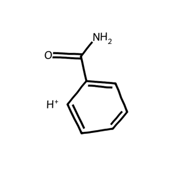 NC(=O)c1ccccc1.[H+]